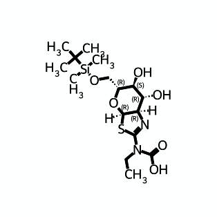 CCN(C(=O)O)C1=N[C@@H]2[C@@H](O)[C@H](O)[C@@H](CO[Si](C)(C)C(C)(C)C)O[C@@H]2S1